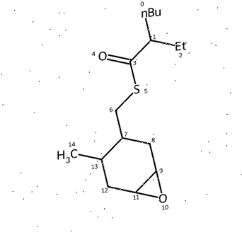 CCCCC(CC)C(=O)SCC1CC2OC2CC1C